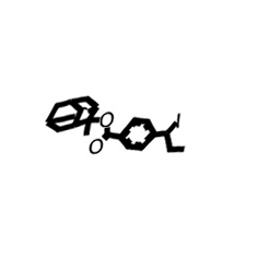 CCC(I)c1ccc(C(=O)OC2(C)C3CC4CC(C3)CC2C4)cc1